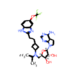 CC(C)N(C[C@H]1O[C@@H](n2ccc3c(N)ncnc32)[C@H](O)[C@H]1O)C1CC(CCc2nc3cc(OC(F)(F)F)ccc3[nH]2)C1